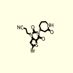 N#CCCn1c(=O)n([C@@H]2CCCNC(=O)C2)c(=O)c2sc(Br)cc21